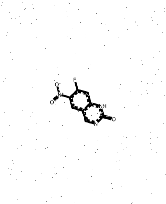 O=c1ncc2cc([N+](=O)[O-])c(F)cc2[nH]1